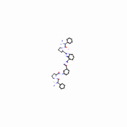 CN(C)C(C(=O)N1CCCC1C(=O)Nc1cccc(-c2cnc(-c3cccc4[nH]c(C5CCCN5C(=O)C(c5ccccc5)N(C)C)nc34)o2)c1)c1ccccc1